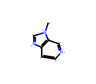 Cn1cnc2ccncc21